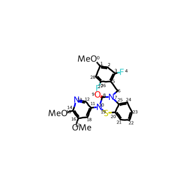 COc1cc(F)c(CN2C(=O)N(c3cnc(OC)c(OC)c3)Sc3ccccc32)c(F)c1